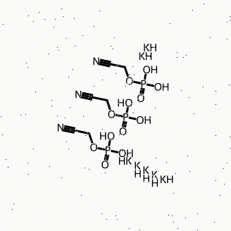 N#CCOP(=O)(O)O.N#CCOP(=O)(O)O.N#CCOP(=O)(O)O.[KH].[KH].[KH].[KH].[KH].[KH].[KH]